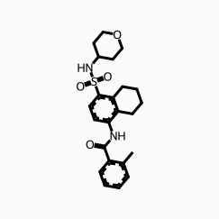 Cc1ccccc1C(=O)Nc1ccc(S(=O)(=O)NC2CCOCC2)c2c1CCCC2